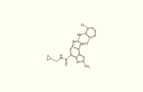 Cc1cc2c(o1)c(C(=O)NCC1CC1)cc1nc(Nc3c(Cl)cccc3Cl)[nH]c12